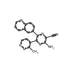 Cc1nnccc1-c1nc(N)c(C#N)nc1-c1ccc2ncccc2c1